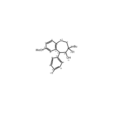 CCCCC1(CC)CSc2ccc(OC)cc2C(c2ccc(F)cc2)C1O